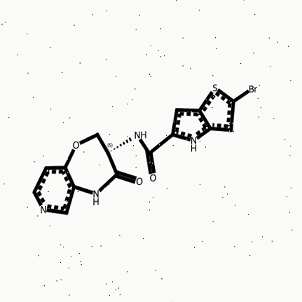 O=C(N[C@H]1COc2ccncc2NC1=O)c1cc2sc(Br)cc2[nH]1